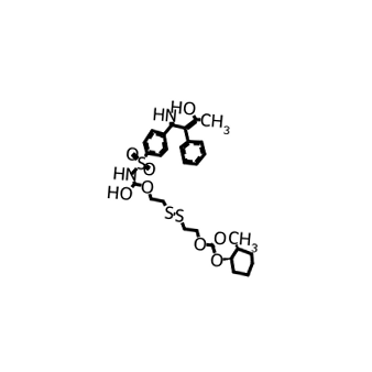 C/C(O)=C(/C(=N)c1ccc(S(=O)(=O)NC(O)OCCSSCCOC(=O)O[C@@H]2CCCC[C@@H]2C)cc1)c1ccccc1